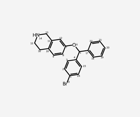 Brc1ccc(C(Oc2ccc3c(c2)CNCC3)c2ccccc2)cc1